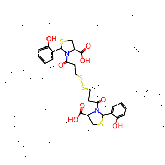 O=C(O)[C@@H]1CSC(c2ccccc2O)N1C(=O)CCSSCCC(=O)N1C(c2ccccc2O)SC[C@H]1C(=O)O